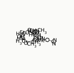 CC[C@H]1OC(=O)[C@@](C)(F)C(=O)[C@H](C)[C@@H](O[C@@H]2O[C@H](CNc3ccc(-c4cncnc4)cc3)CC(N(C)C)C2O)[C@](C)(OC)C[C@@H](C)C(=O)[C@H](C)[C@H]2NC(=O)O[C@@]21C